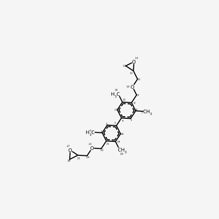 Cc1cc(-c2cc(C)c(COCC3CO3)c(C)c2)cc(C)c1COCC1CO1